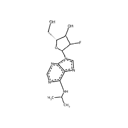 CC(C)Nc1ncnc2c1ncn2C1O[C@H](CO)C(O)C1F